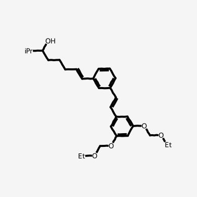 CCOCOc1cc(C=Cc2cccc(C=CCCCC(O)C(C)C)c2)cc(OCOCC)c1